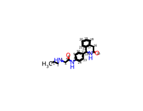 CCCNCC(=O)Nc1ccc(C2NC(=O)Cc3ccccc32)cc1